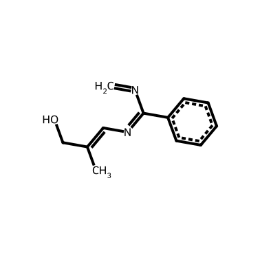 C=N/C(=N\C=C(/C)CO)c1ccccc1